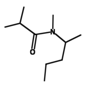 CCCC(C)N(C)C(=O)C(C)C